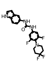 O=C(Nc1cc(F)c(N2CCC(F)(F)CC2)c(F)c1)Nc1ccc2[nH]ccc2c1